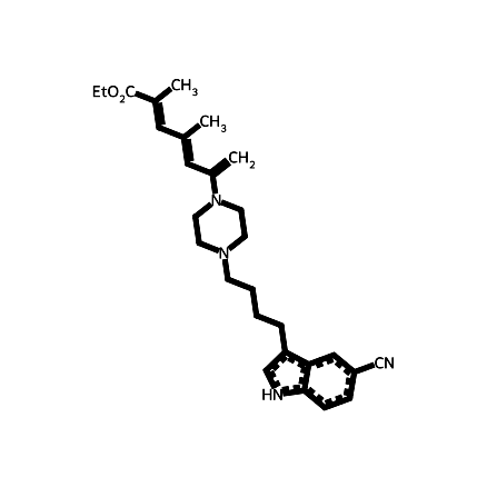 C=C(/C=C(C)/C=C(\C)C(=O)OCC)N1CCN(CCCCc2c[nH]c3ccc(C#N)cc23)CC1